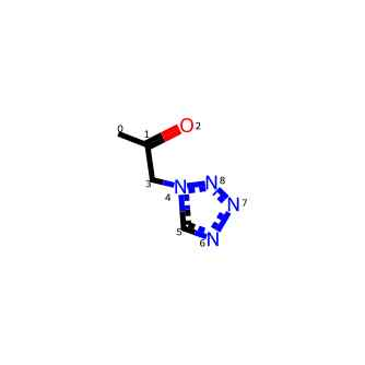 CC(=O)Cn1cnnn1